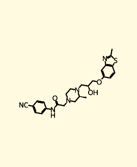 Cc1nc2cc(OC[C@@H](O)CN3CCN(CC(=O)Nc4ccc(C#N)cc4)C[C@@H]3C)ccc2s1